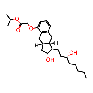 CCCCC[C@@H](O)CCC1[C@H](O)C[C@@H]2Cc3c(cccc3OCC(=O)OC(C)C)C[C@H]12